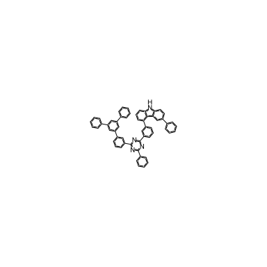 c1ccc(-c2cc(-c3ccccc3)cc(-c3cccc(-c4nc(-c5ccccc5)nc(-c5cccc(-c6cccc7[nH]c8ccc(-c9ccccc9)cc8c67)c5)n4)c3)c2)cc1